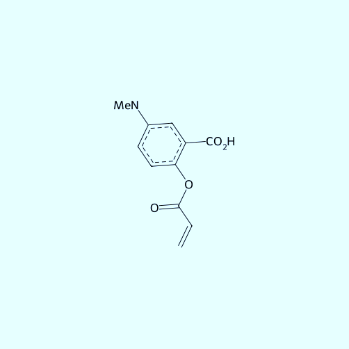 C=CC(=O)Oc1ccc(NC)cc1C(=O)O